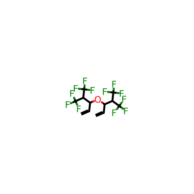 C=CC(OC(C=C)C(C(F)(F)F)C(F)(F)F)C(C(F)(F)F)C(F)(F)F